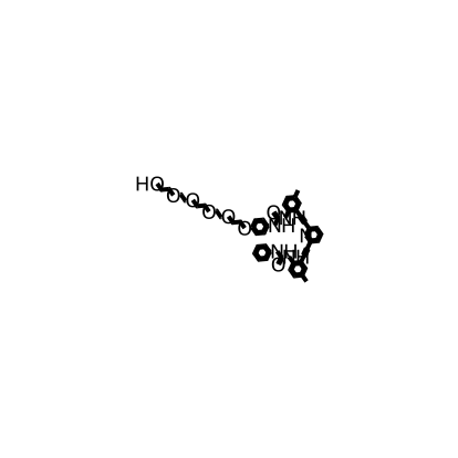 Cc1ccc(NC(=O)Nc2ccccc2)c(C#Cc2cccc(C#Cc3cc(C)ccc3NC(=O)Nc3ccc(OCCOCCOCCOCCOCCO)cc3)n2)c1